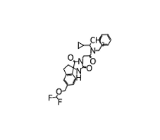 CC(C1CC1)N(Cc1ccccc1)C(=O)CN1C(=O)NC2(CCc3cc(COC(F)F)ccc32)C1=O